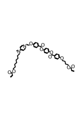 C=CC(=O)OCCCCCCCCN(C)c1cc[n+](CCOc2ccc(C(=O)Oc3ccc(OC(=O)c4ccc(OCCCCOC(=O)C=C)cc4)cc3)cc2)cc1